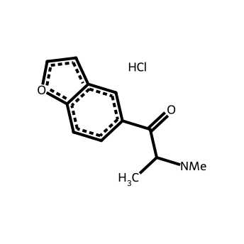 CNC(C)C(=O)c1ccc2occc2c1.Cl